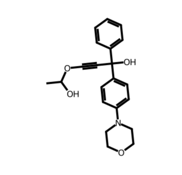 CC(O)OC#CC(O)(c1ccccc1)c1ccc(N2CCOCC2)cc1